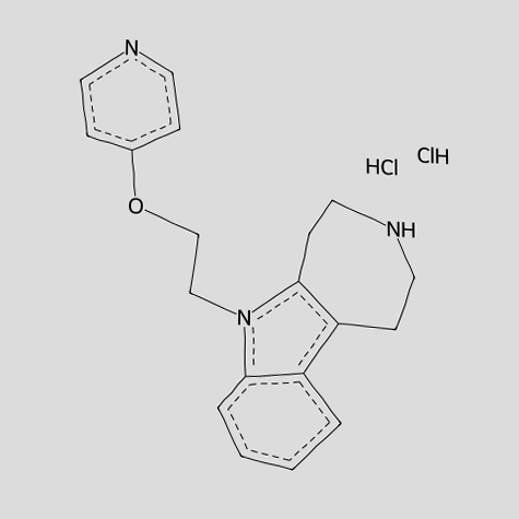 Cl.Cl.c1ccc2c(c1)c1c(n2CCOc2ccncc2)CCNCC1